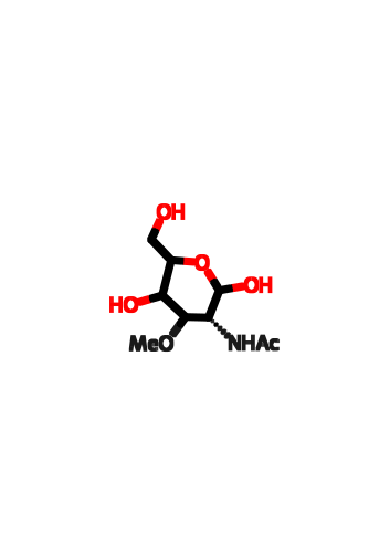 COC1C(O)C(CO)OC(O)[C@@H]1NC(C)=O